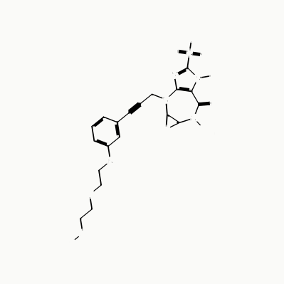 COCCOCCNc1cccc(C#CCN2c3nc(S(C)(=O)=O)n(C)c3C(=O)N(C)C3OC32)c1